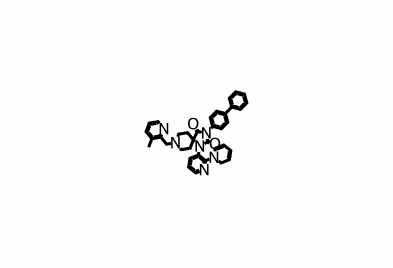 Cc1cccnc1CN1CCC2(CC1)C(=O)N(c1ccc(-c3ccccc3)cc1)C(=O)N2c1cccnc1N1C=CC=CC1